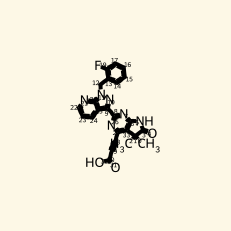 CC1(C)C(=O)Nc2nc(-c3nn(Cc4ccccc4F)c4ncccc34)nc(C#CC(=O)O)c21